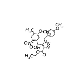 CCOC(=O)c1nnn(Cc2ccc(OC)cc2)c1C(O)c1cc(OC)c(C)cc1[N+](=O)[O-]